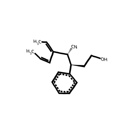 C/C=C\C(=C/C)[C@H](C#N)[C@@H](CCO)c1ccccc1